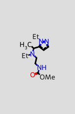 CCN(CCNC(=O)OC)C(C)c1ccnn1CC